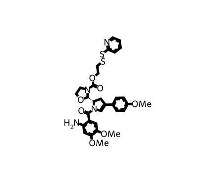 COc1ccc(C2=CN(C(=O)c3cc(OC)c(OC)cc3N)[C@H](C3OCCN3C(=O)OCCSSc3ccccn3)C2)cc1